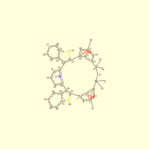 Cc1cc2c(O)c(c1)C(C)(C)CC(C)(C)c1cc(C)cc(c1O)-c1sc3ccccc3c1-c1cccc(n1)-c1c-2sc2ccccc12